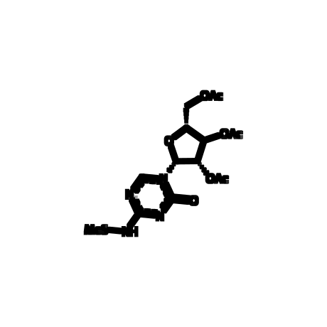 CSNc1ncn([C@@H]2O[C@H](COC(C)=O)C(OC(C)=O)[C@@H]2OC(C)=O)c(=O)n1